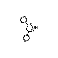 O=C(CC(SO)c1ccccc1)c1ccccc1